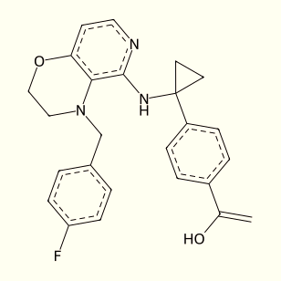 C=C(O)c1ccc(C2(Nc3nccc4c3N(Cc3ccc(F)cc3)CCO4)CC2)cc1